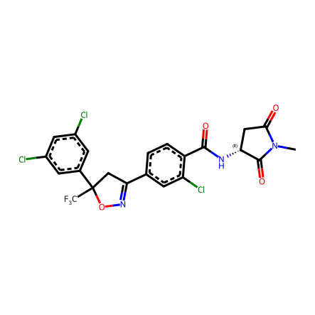 CN1C(=O)C[C@@H](NC(=O)c2ccc(C3=NOC(c4cc(Cl)cc(Cl)c4)(C(F)(F)F)C3)cc2Cl)C1=O